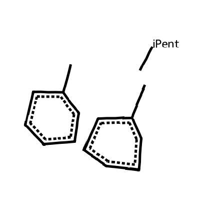 CCCC(C)C.Cc1ccccc1.Cc1ccccc1